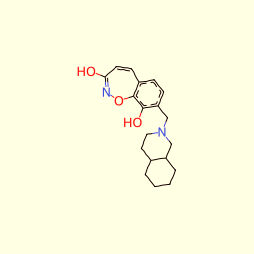 OC1=NOc2c(ccc(CN3CCC4CCCCC4C3)c2O)C=C1